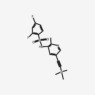 Cc1ncc(C#C[Si](C)(C)C)cc1NS(=O)(=O)c1ccc(F)cc1F